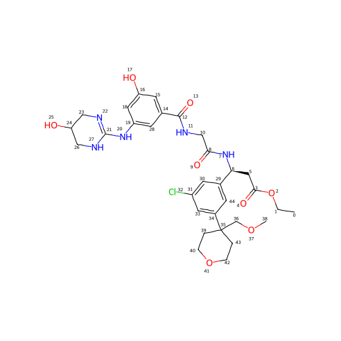 CCOC(=O)C[C@H](NC(=O)CNC(=O)c1cc(O)cc(NC2=NCC(O)CN2)c1)c1cc(Cl)cc(C2(COC)CCOCC2)c1